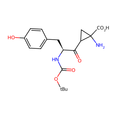 CC(C)(C)OC(=O)N[C@@H](Cc1ccc(O)cc1)C(=O)C1CC1(N)C(=O)O